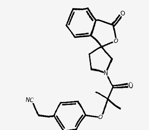 CC(C)(Oc1ccc(CC#N)cc1)C(=O)N1CCC2(C1)OC(=O)c1ccccc12